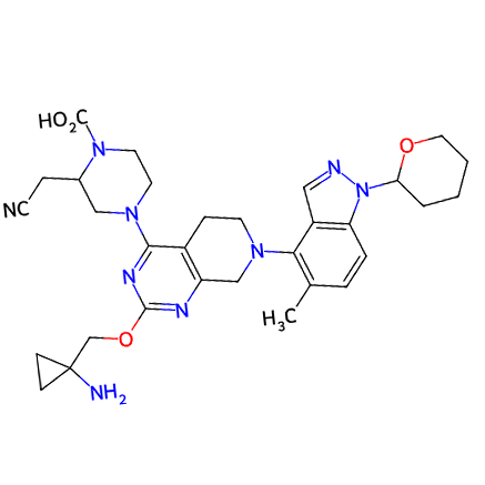 Cc1ccc2c(cnn2C2CCCCO2)c1N1CCc2c(nc(OCC3(N)CC3)nc2N2CCN(C(=O)O)C(CC#N)C2)C1